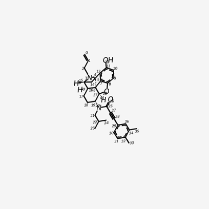 C=CCN1CC[C@@]23c4c5ccc(O)c4C[C@@H]1[C@@H]2CC[C@@H](N(CC(C)C)C(=O)C#Cc1ccc(C)c(C)c1)[C@@H]3O5